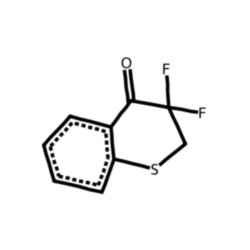 O=C1c2ccccc2SCC1(F)F